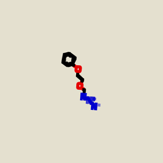 [N-]=[N+]=NCOCCOc1ccccc1